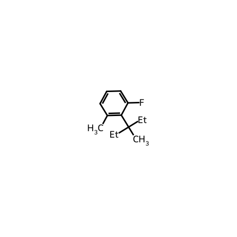 CCC(C)(CC)c1c(C)cccc1F